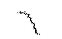 [CH2]CCCCCCCC=CC=CC=CCC